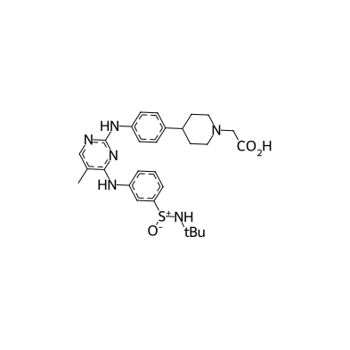 Cc1cnc(Nc2ccc(C3CCN(CC(=O)O)CC3)cc2)nc1Nc1cccc([S+]([O-])NC(C)(C)C)c1